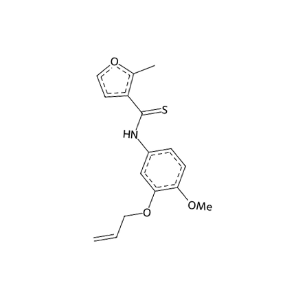 C=CCOc1cc(NC(=S)c2ccoc2C)ccc1OC